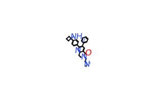 CN(C)CCN1CCc2nc(-c3ccc(C4(N)CCC4)cc3)c(-c3ccccc3)cc2C1=O